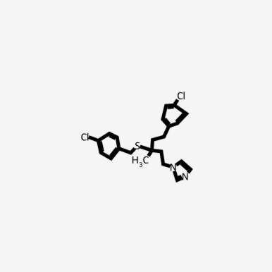 CC(CCc1ccc(Cl)cc1)(CCn1ccnc1)SCc1ccc(Cl)cc1